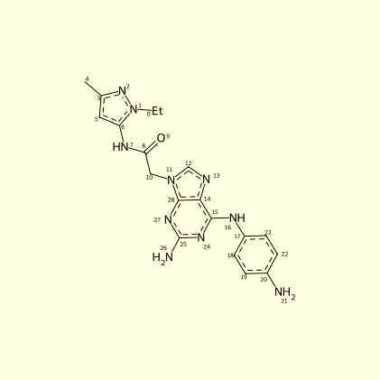 CCn1nc(C)cc1NC(=O)Cn1cnc2c(Nc3ccc(N)cc3)nc(N)nc21